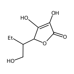 CCC(CO)C1OC(=O)C(O)=C1O